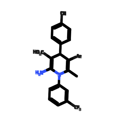 CC(=O)C1=C(C)N(c2cccc(C(F)(F)F)c2)C(N)=C(C(=O)O)C1c1ccc(C#N)cc1